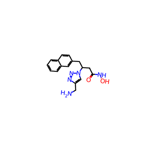 NCc1cn(C(CC(=O)NO)Cc2ccc3ccccc3c2)nn1